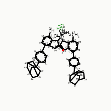 CCC1=Cc2c(-c3ccc(C45CC6CC(CC(C6)C4)C5)cc3)ccc(C)c2[CH]1[Zr]([CH3])([CH3])(=[SiH2])[CH]1C(C)=Cc2c(-c3ccc(C45CC6CC(CC(C6)C4)C5)cc3)ccc(C)c21.Cl.Cl